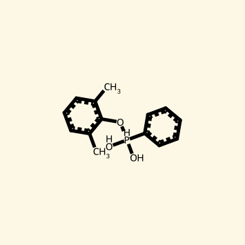 Cc1cccc(C)c1O[PH](O)(O)c1ccccc1